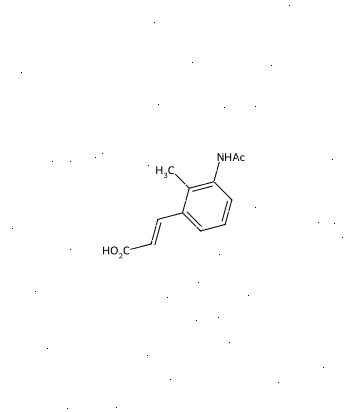 CC(=O)Nc1cccc(/C=C/C(=O)O)c1C